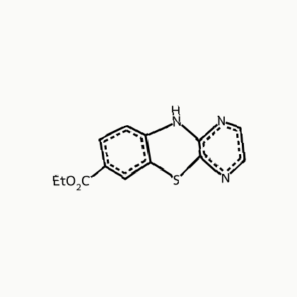 CCOC(=O)c1ccc2c(c1)Sc1nccnc1N2